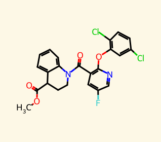 COC(=O)C1CCN(C(=O)c2cc(F)cnc2Oc2cc(Cl)ccc2Cl)c2ccccc21